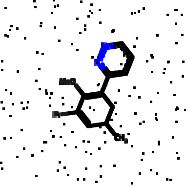 COC1=C(c2cccnn2)CC(C)C=C1C(C)C